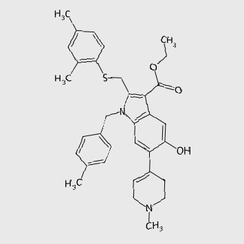 CCOC(=O)c1c(CSc2ccc(C)cc2C)n(Cc2ccc(C)cc2)c2cc(C3=CCN(C)CC3)c(O)cc12